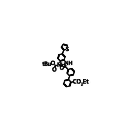 CCOC(=O)c1ccccc1-c1cccc(C(=O)Nc2cc(-c3cccs3)ccc2NC(=O)OC(C)(C)C)c1